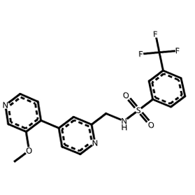 COc1cnccc1-c1ccnc(CNS(=O)(=O)c2cccc(C(F)(F)F)c2)c1